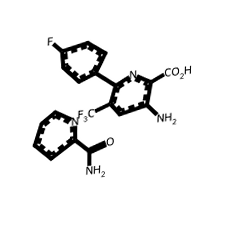 NC(=O)c1ccccn1.Nc1cc(C(F)(F)F)c(-c2ccc(F)cc2)nc1C(=O)O